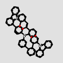 c1c(-c2cccc3c2oc2ccccc23)ccc(N(c2cccc(-c3ccccc3-c3ccccc3-n3c4ccccc4c4ccccc43)c2)c2ccccc2C2=Cc3ccccc3CC2)c#1